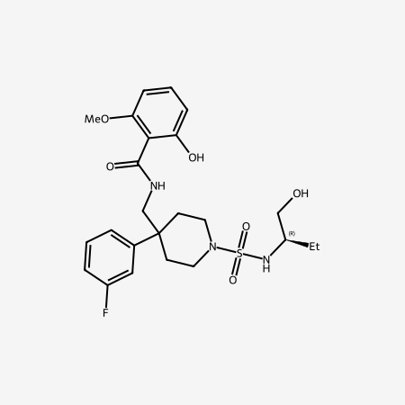 CC[C@H](CO)NS(=O)(=O)N1CCC(CNC(=O)c2c(O)cccc2OC)(c2cccc(F)c2)CC1